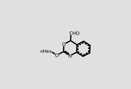 CCCCCCOC1=Nc2ccccc2C(C=O)O1